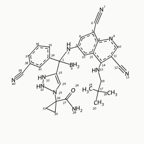 BC(Nc1cc(C#N)c2ncc(C#N)c(NCC(C)(C)C)c2c1)(C1=CN(C2(C(N)=O)CC2)NN1)c1cccc(C#N)c1